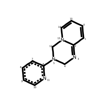 C1=CC2=NCN(c3ccccn3)CN2C=C1